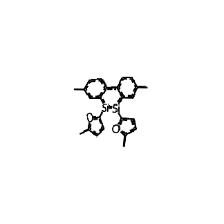 Cc1ccc2c3ccc(C)cc3[si](-c3ccc(C)o3)[si](-c3ccc(C)o3)c2c1